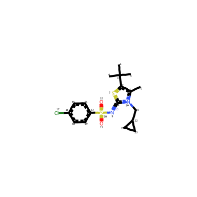 Cc1c(C(C)(C)C)s/c(=N\S(=O)(=O)c2ccc(Cl)cc2)n1CC1CC1